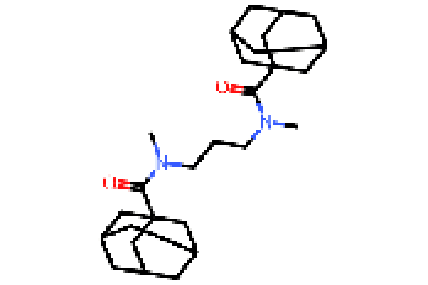 CN(CCCN(C)C(=O)C12CC3CC(CC(C3)C1)C2)C(=O)C12CC3CC(CC(C3)C1)C2